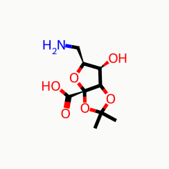 CC1(C)OC2[C@H](O)[C@H](CN)O[C@@]2(C(=O)O)O1